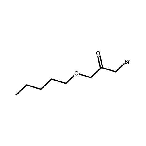 CCCCCOCC(=O)CBr